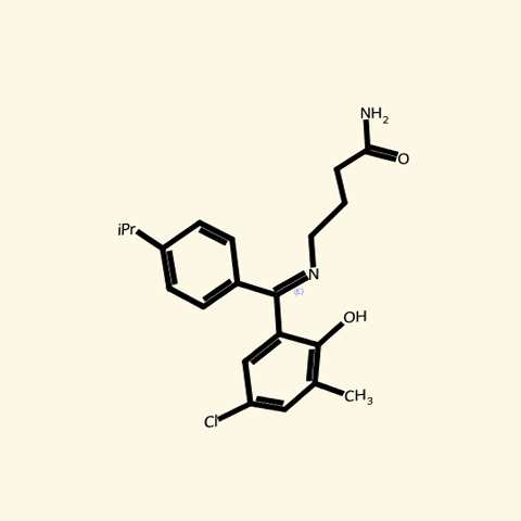 Cc1cc(Cl)cc(/C(=N/CCCC(N)=O)c2ccc(C(C)C)cc2)c1O